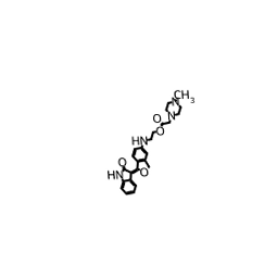 CN1CCN(CC(=O)OCCNc2ccc3c(c2)CO/C3=C2/C(=O)Nc3ccccc32)CC1